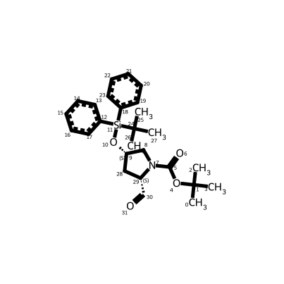 CC(C)(C)OC(=O)N1C[C@@H](O[Si](c2ccccc2)(c2ccccc2)C(C)(C)C)C[C@H]1C=O